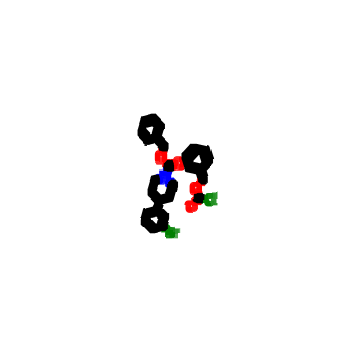 O=C(Cl)OCc1ccccc1.O=C(OCc1ccccc1)N1CCC(c2cccc(Br)c2)CC1